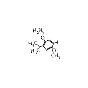 COc1cc(C(C)C)c(OCN)cc1I